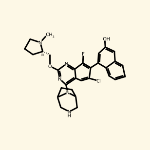 CN1CCC[C@H]1COc1nc(N2C3CCC2CNC3)c2cc(Cl)c(-c3cc(O)cc4ccccc34)c(F)c2n1